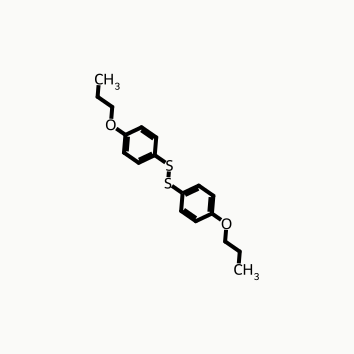 CCCOc1ccc(SSc2ccc(OCCC)cc2)cc1